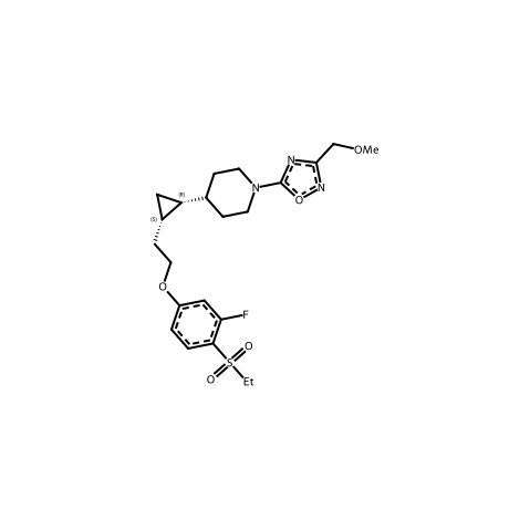 CCS(=O)(=O)c1ccc(OCC[C@@H]2C[C@@H]2C2CCN(c3nc(COC)no3)CC2)cc1F